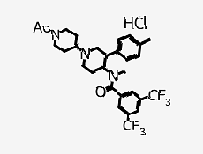 CC(=O)N1CCC(N2CCC(N(C)C(=O)c3cc(C(F)(F)F)cc(C(F)(F)F)c3)C(c3ccc(C)cc3)C2)CC1.Cl